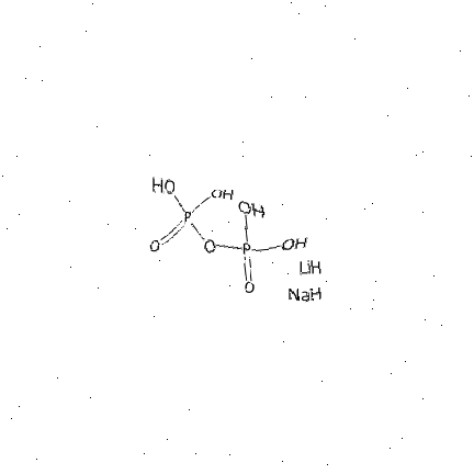 O=P(O)(O)OP(=O)(O)O.[LiH].[NaH]